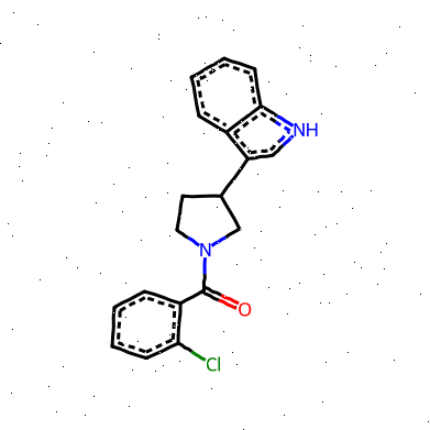 O=C(c1ccccc1Cl)N1CCC(c2c[nH]c3ccccc23)C1